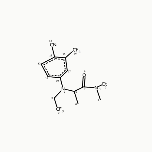 CCN(C)C(=O)C(C)N(CC(F)(F)F)c1ccc(C#N)c(C(F)(F)F)c1